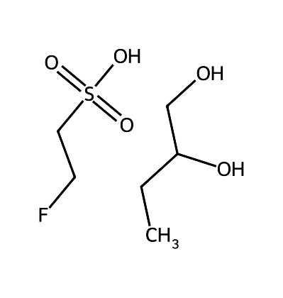 CCC(O)CO.O=S(=O)(O)CCF